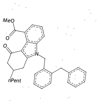 CCCCCC1CC(=O)c2c(n(Cc3ccccc3Cc3ccccc3)c3cccc(C(=O)OC)c23)C1